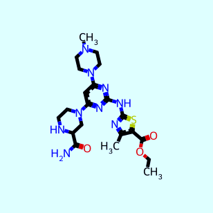 CCOC(=O)c1sc(Nc2nc(N3CCN(C)CC3)cc(N3CCNC(C(N)=O)C3)n2)nc1C